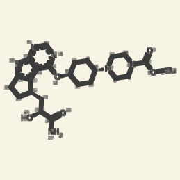 CC(C)(C)OC(=O)N1CCN([C@H]2CC[C@H](Oc3ncnc4sc5c(c34)[C@@H](C[C@H](O)C(N)=O)CC5)CC2)CC1